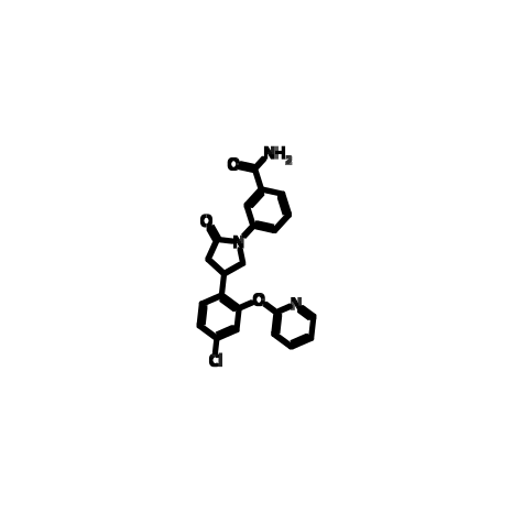 NC(=O)c1cccc(N2CC(c3ccc(Cl)cc3Oc3ccccn3)CC2=O)c1